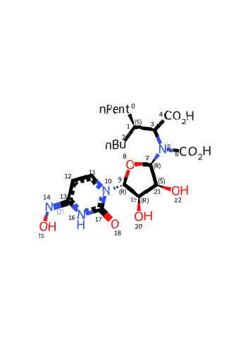 CCCCC[C@H](CCCC)C(C(=O)O)N(C(=O)O)[C@@H]1O[C@@H](n2cc/c(=N/O)[nH]c2=O)[C@H](O)[C@@H]1O